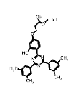 CCCCCCCCOC(O)CCOc1ccc(-c2nc(-c3cc(C)cc(C)c3)nc(-c3cc(C)cc(C)c3)n2)c(O)c1